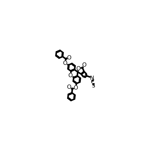 O=C(Oc1ccc2c(c1)Oc1cc(OC(=O)c3ccccc3)ccc1C21OC(=O)c2cc(N=C=S)ccc21)c1ccccc1